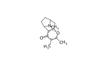 Cc1oc2c(c(=O)c1C)C1CCC(C2)N1C